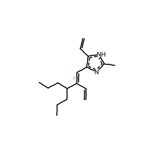 C=C/C(=C\c1nc(C)[nH]c1C=C)C(CCC)CCC